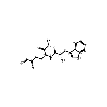 CC(C)SC(=O)[C@H](CCC(=O)C=N)NC(=O)[C@@H](N)Cc1c[nH]c2ccccc12